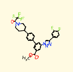 COC(=O)c1cc(-c2ccc(C3CCN(C(=O)C(F)(F)F)CC3)cc2)cc(-n2cc(-c3ccc(F)c(F)c3)nn2)c1